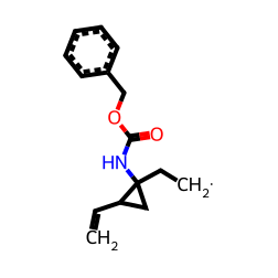 [CH2]CC1(NC(=O)OCc2ccccc2)CC1C=C